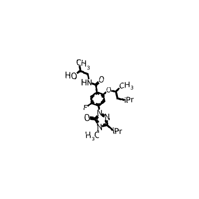 CC(C)CC(C)Oc1cc(-n2nc(C(C)C)n(C)c2=O)c(F)cc1C(=O)NCC(C)O